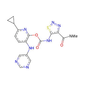 CNC(=O)c1nnsc1NC(=O)Oc1nc(C2CC2)ccc1Nc1cncnc1